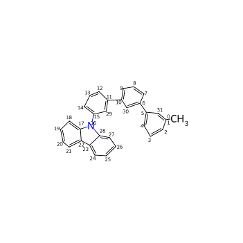 Cc1cccc(-c2cccc(-c3cccc(-n4c5ccccc5c5ccccc54)c3)c2)c1